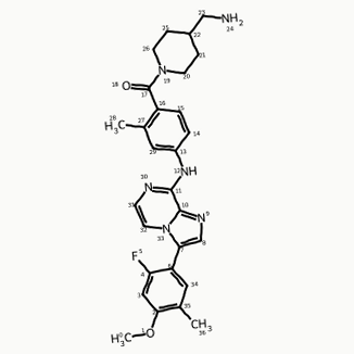 COc1cc(F)c(-c2cnc3c(Nc4ccc(C(=O)N5CCC(CN)CC5)c(C)c4)nccn23)cc1C